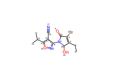 CCC1=C(Br)C(=O)N(c2noc(C(C)C)c2C#N)C1O